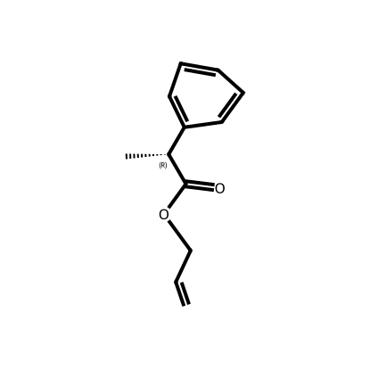 C=CCOC(=O)[C@H](C)c1ccccc1